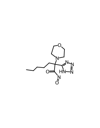 CCCCCC(C(=O)N=O)(c1nnn[nH]1)N1CCOCC1